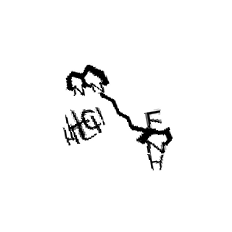 Cl.Cl.FC1(CCCCCN2CCCc3cccnc32)CCNC1